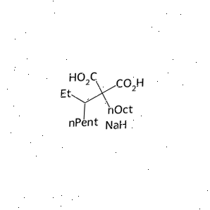 CCCCCCCCC(C(=O)O)(C(=O)O)C(CC)CCCCC.[NaH]